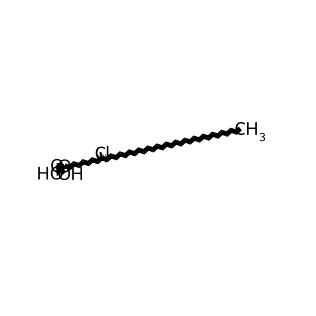 CCCCCCCCCCCCCCCCCCCCCCCCCCCCCC[C@H](Cl)CCCCCCCOP(=O)(O)O